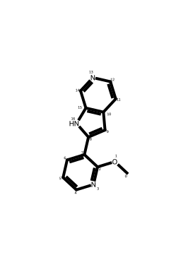 COc1ncccc1-c1cc2ccncc2[nH]1